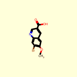 COc1cc2cc(C(=O)O)cnc2cc1Br